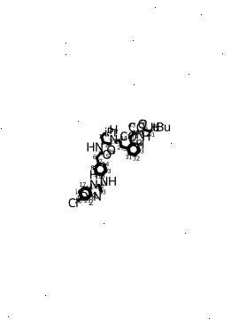 CC(C)CC(NC(=O)Cc1ccc(NC(=C[N+](=O)[O-])Nc2ccc(Cl)cc2)cc1)C(=O)NC(Cc1ccccc1CC(NC(=O)CC(C)(C)C)C(=O)O)C(=O)O